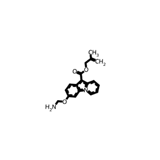 C=C(C)COC(=O)c1c2ccc(OCN)cc2n2ccccc12